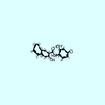 O=C(Nc1ccc(Cl)cc1O)c1cc2ccccc2cc1O